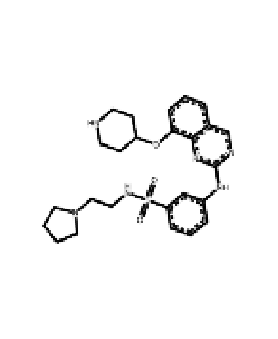 O=S(=O)(NCCN1CCCC1)c1cccc(Nc2ncc3cccc(OC4CCNCC4)c3n2)c1